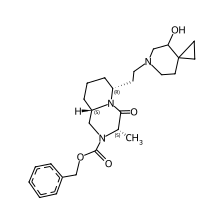 C[C@H]1C(=O)N2[C@@H](CCN3CCC4(CC4)C(O)C3)CCC[C@H]2CN1C(=O)OCc1ccccc1